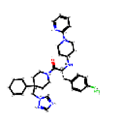 Cl.O=C([C@@H](Cc1ccc(Cl)cc1)NC1CCN(c2ccccn2)CC1)N1CCC(Cn2cncn2)(C2CCCCC2)CC1